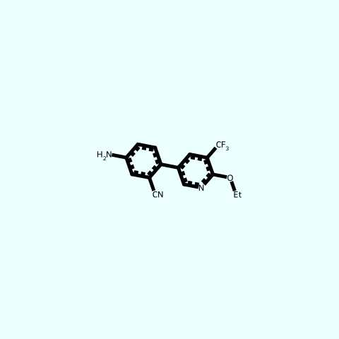 CCOc1ncc(-c2ccc(N)cc2C#N)cc1C(F)(F)F